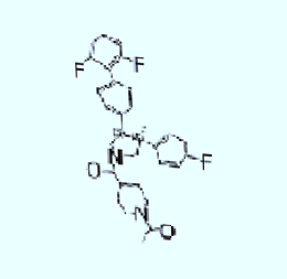 CC(=O)N1CCC(C(=O)N2C[C@@H](c3ccc(-c4c(F)cccc4F)cc3)[C@@](C)(c3ccc(F)cc3)C2)CC1